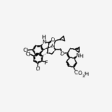 N=C1C=C(C(=O)O)C=C/C1=C(/CC1=CC1)OCC1C[C@H](c2cc(Cl)cc(Cl)c2F)[C@]2(C(=O)Nc3cc(Cl)ccc32)N1CC1CC1